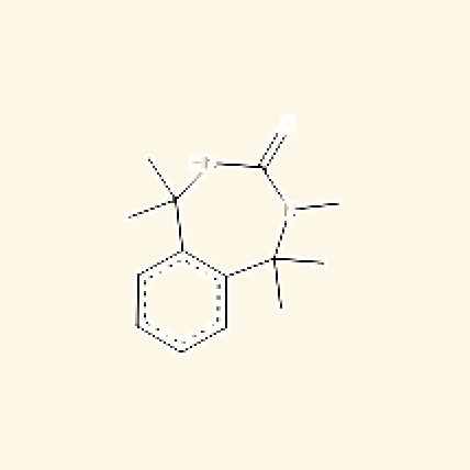 CN1C(=O)NC(C)(C)c2ccccc2C1(C)C